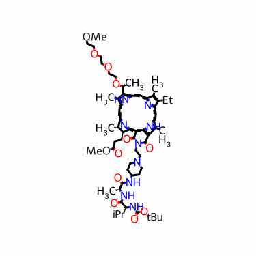 CCC1=C(C)c2cc3[nH]c(cc4nc(c5c6[nH]c(cc1n2)c(C)c6C(=O)N(CCN1CCC(NC(=O)[C@H](C)NC(=O)[C@@H](NC(=O)OC(C)(C)C)C(C)C)CC1)C5=O)[C@@H](CCC(=O)OC)[C@@H]4C)c(C)c3C(C)OCCOCCOCCOC